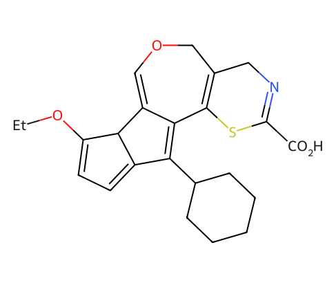 CCOC1=CC=C2C(C3CCCCC3)=C3C(=COCC4=C3SC(C(=O)O)=NC4)C12